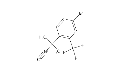 [C-]#[N+]C(C)(C)c1ccc(Br)cc1C(F)(F)F